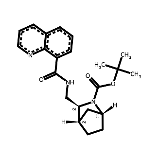 CC(C)(C)OC(=O)N1[C@@H]2CC[C@@H](C2)[C@H]1CNC(=O)c1cccc2cccnc12